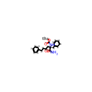 CC(C)(C)OC(=O)N[C@@](Cc1ccccc1)(C[C@@H](O)CCc1ccccc1)C(N)=O